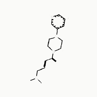 CN(C)CC=CC(=O)N1CCN(c2cccnc2)CC1